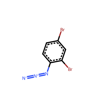 [N-]=[N+]=Nc1ccc(Br)cc1Br